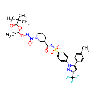 Cc1ccc(-c2cc(C(F)(F)F)nn2-c2ccc(S(=O)(=O)NC(=O)C3CCCN([N+]([O-])=NOC(C)OC(=O)C(C)(C)C)C3)cc2)cc1